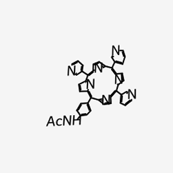 CC(=O)Nc1ccc(C2=C3C=CC(=N3)C(c3cccnc3)=C3C=CC(=N3)C(c3cccnc3)=C3C=CC(=N3)C(c3cccnc3)=C3C=CC2=N3)cc1